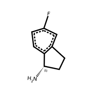 N[C@H]1CCc2cc(F)ccc21